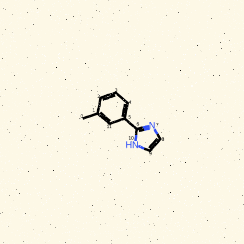 [CH2]c1cccc(-c2ncc[nH]2)c1